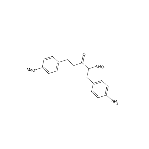 COc1ccc(CCC(=O)C([C]=O)Cc2ccc(N)cc2)cc1